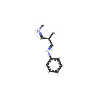 C/N=C\C(C)/C=N/c1ccccc1